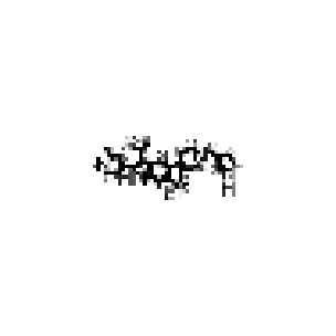 Cc1cc(-c2[nH]c3cc(C(F)(F)F)c(C4CCN(CC5CCNC5)CC4)cc3c2C(C)C)ccn1